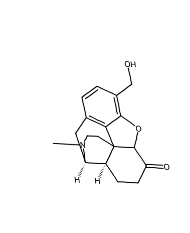 CN1CCC23c4c5ccc(CO)c4OC2C(=O)CC[C@H]3[C@H]1C5